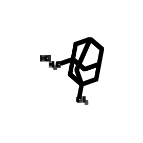 CC12CC3CC(C1)CC(C)(C3)C2.Cl